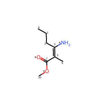 CCCC(N)=C(C)C(=O)OC